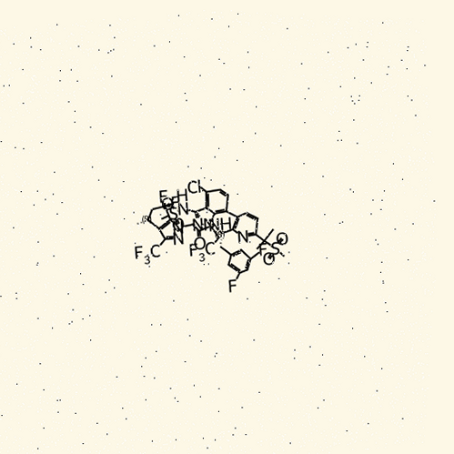 C[C@@H]1CC(F)(F)c2c1c(C(F)(F)F)nn2CC(=O)N[C@@H](Cc1cc(F)cc(F)c1)c1nc(C(C)(C)S(C)(=O)=O)ccc1-c1ccc(Cl)c2c(NS(C)(=O)=O)nn(CC(F)(F)F)c12